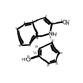 Oc1cc2ccccc2[nH]1.Oc1ccccc1